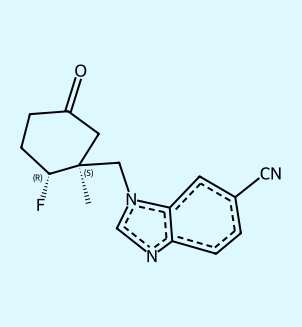 C[C@@]1(Cn2cnc3ccc(C#N)cc32)CC(=O)CC[C@H]1F